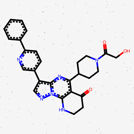 O=C1CCNc2c1c(C1CCN(C(=O)CO)CC1)nc1c(-c3ccc(-c4ccccc4)nc3)cnn21